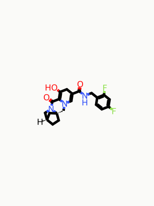 O=C(NCc1ccc(F)cc1F)C1=CN2C[C@@]34CC[C@@H](CN3C(=O)C2=C(O)C1)C4